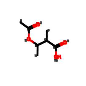 CC(=O)OC(C)C(C)C(=O)O